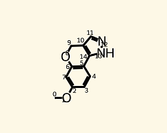 COc1ccc2c(c1)OCc1cn[nH]c1-2